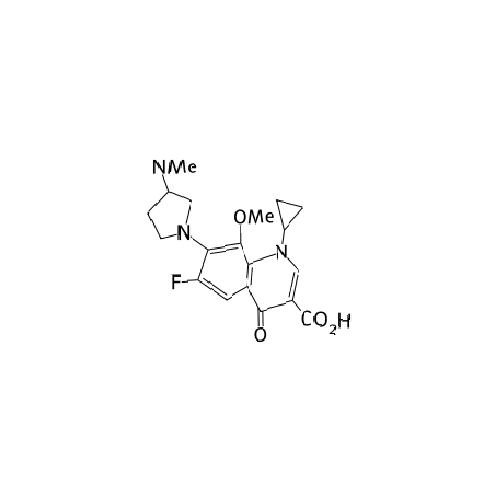 CNC1CCN(c2c(F)cc3c(=O)c(C(=O)O)cn(C4CC4)c3c2OC)C1